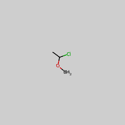 BOC(C)Cl